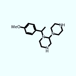 COc1ccc(C(C)N2CCNCC2N2CCNCC2)cc1